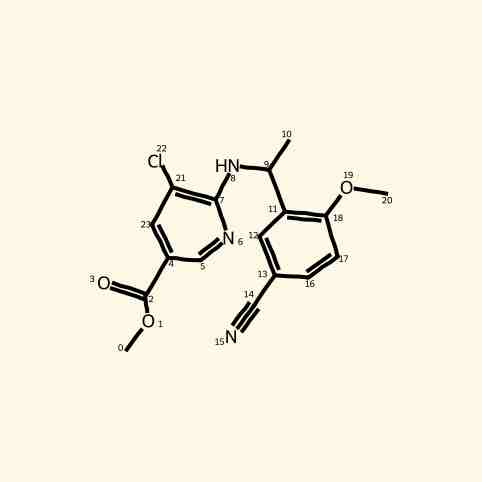 COC(=O)c1cnc(NC(C)c2cc(C#N)ccc2OC)c(Cl)c1